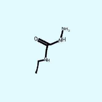 CCNC(=O)NN